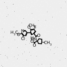 COc1ncc(-c2cc(C(=O)N[C@]3(C(=O)O)CC[C@@H](C)CC3)cc(F)c2OC)cc1Cl